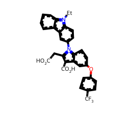 CCn1c2ccccc2c2cc(-n3c(CC(=O)O)c(C(=O)O)c4cc(Oc5ccc(C(F)(F)F)cc5)ccc43)ccc21